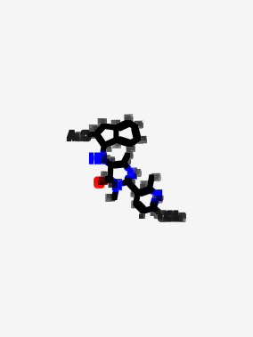 COc1ccc(-c2nc(C)c(NC3c4ccccc4CC3OC(C)=O)c(=O)n2C)c(C)n1